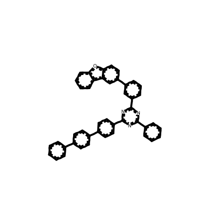 c1ccc(-c2ccc(-c3ccc(-c4nc(-c5ccccc5)nc(-c5cccc(-c6ccc7oc8ccccc8c7c6)c5)n4)cc3)cc2)cc1